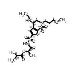 CCN[C@H]1CN(CCCOC)S(=O)(=O)c2sc(S(=O)(=O)NC(=O)C(C)OC(=O)C(C)O)cc21